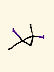 CC1(I)C[C@]1(C)I